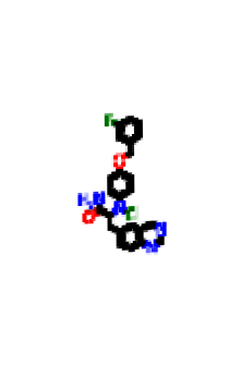 NC(=O)C(Cc1ccc2ncncc2c1)N(Cl)c1ccc(OCc2cccc(F)c2)cc1